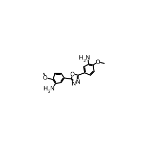 COc1ccc(-c2nnc(-c3ccc(OC)c(N)c3)o2)cc1N